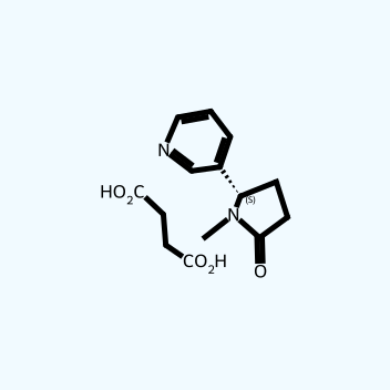 CN1C(=O)CC[C@H]1c1cccnc1.O=C(O)CCC(=O)O